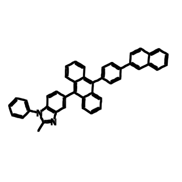 Cc1nc2cc(-c3c4ccccc4c(-c4ccc(-c5ccc6ccccc6c5)cc4)c4ccccc34)ccc2n1-c1ccccc1